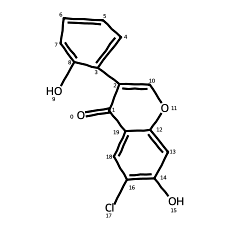 O=c1c(-c2ccccc2O)coc2cc(O)c(Cl)cc12